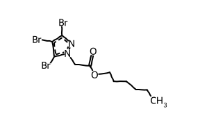 CCCCCCOC(=O)Cn1nc(Br)c(Br)c1Br